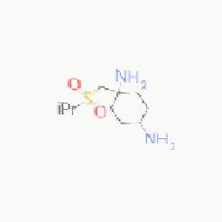 CC(C)S(=O)(=O)CC1(N)CCC(N)CC1